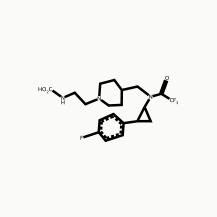 O=C(O)NCCN1CCC(CN(C(=O)C(F)(F)F)C2CC2c2ccc(F)cc2)CC1